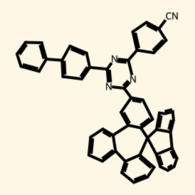 N#Cc1ccc(-c2nc(-c3ccc(-c4ccccc4)cc3)nc(-c3ccc4c(c3)-c3ccccc3-c3ccccc3C43c4ccccc4-c4ccccc43)n2)cc1